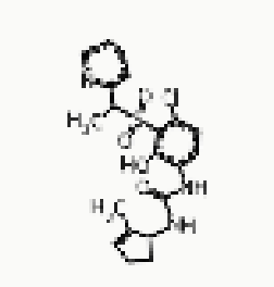 CC1=CCCC1NC(=O)Nc1ccc(Cl)c(S(=O)(=O)C(C)c2ccccn2)c1O